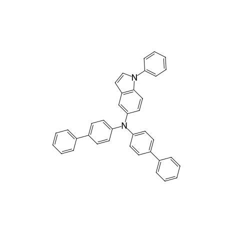 c1ccc(-c2ccc(N(c3ccc(-c4ccccc4)cc3)c3ccc4c(ccn4-c4ccccc4)c3)cc2)cc1